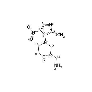 Cn1ncc([N+](=O)[O-])c1N1CCOC(CN)C1